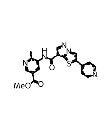 COC(=O)c1cnc(C)c(NC(=O)c2cnn3cc(-c4ccncc4)sc23)c1